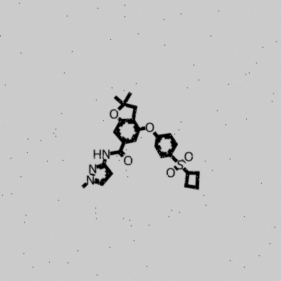 Cn1ccc(NC(=O)c2cc(Oc3ccc(S(=O)(=O)C4CCC4)cc3)c3c(c2)OC(C)(C)C3)n1